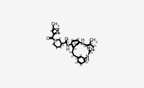 Cc1cc(C(=O)N2CCCC(C(=O)Nc3ccc4cc3CCc3cccc(c3)Nc3ncc(C)c(n3)N4)C2)no1